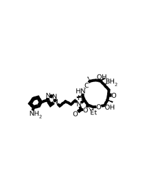 B[C@@H]1CC(=O)[C@@H](C)C(O)O[C@H](CC)[C@@]2(C)OC(=O)N(CCCCn3cc(-c4cccc(N)c4)nn3)[C@@H]2[C@@H](C)NC[C@H](C)C[C@]1(C)O